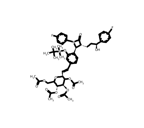 CC(=O)OCC1O[C@@H](/C=C/c2ccc([C@@H]3[C@@H](CC[C@H](O)c4ccc(F)cc4)C(=O)N3c3ccc(F)cc3)c(O[Si](C)(C)C(C)(C)C)c2)C(OC(C)=O)[C@@H](OC(C)=O)[C@@H]1OC(C)=O